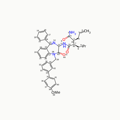 C=CC[C@H](C(N)=O)[C@@H](CC(C)C)C(=O)NC1N=C(c2ccccc2)c2ccccc2N(Cc2cccc(-c3ccc(OC)cc3)c2)C1=O